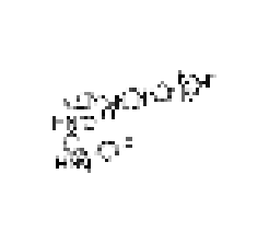 C=CC1(C(=O)Nc2ccc3[nH]nc(-c4ccc(F)cc4)c3c2)CCN(CC(=O)N2CCN(c3ccc(-c4ncc(F)cn4)cc3)CC2)C1